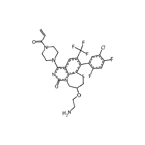 C=CC(=O)N1CCN(c2nc(=O)n3c4c(c(-c5cc(Cl)c(F)cc5F)c(C(F)(F)F)cc24)SCC(OCCN)C3)CC1